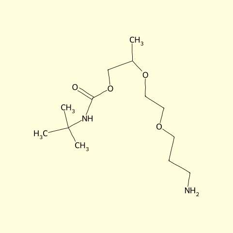 CC(COC(=O)NC(C)(C)C)OCCOCCCN